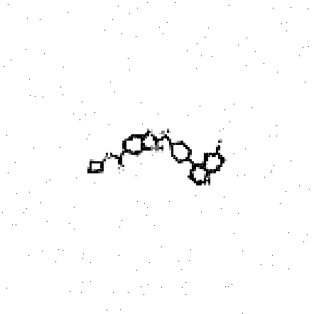 C[C@@H](c1nc2ccc(C(=O)OC3CCC3)cc2[nH]1)C1CCC(c2ccnc3ccc(F)cc23)CC1